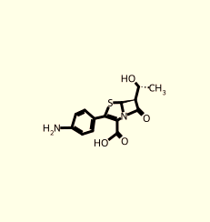 C[C@@H](O)[C@H]1C(=O)N2C(C(=O)O)=C(c3ccc(N)cc3)SC12